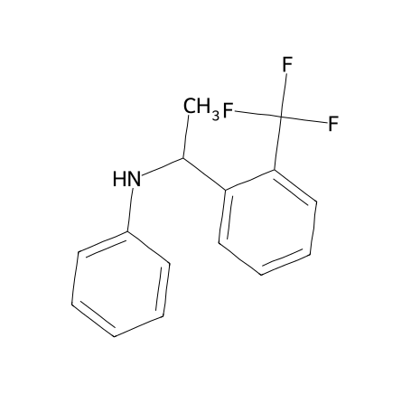 CC(Nc1ccccc1)c1ccccc1C(F)(F)F